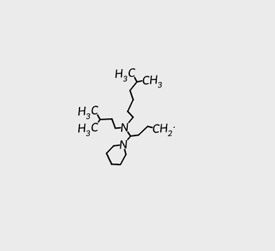 [CH2]CCC(N1CCCCC1)N(CCCCC(C)C)CCC(C)C